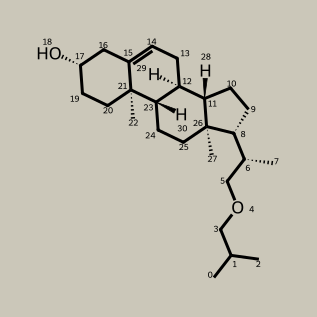 CC(C)COC[C@@H](C)[C@H]1CC[C@H]2[C@@H]3CC=C4C[C@@H](O)CC[C@]4(C)[C@H]3CC[C@]12C